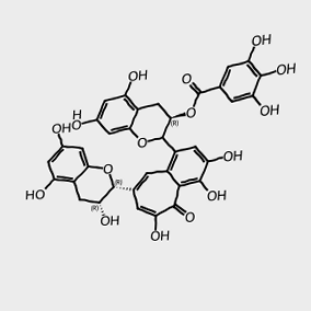 O=C(O[C@@H]1Cc2c(O)cc(O)cc2OC1c1cc(O)c(O)c2c(=O)c(O)cc([C@H]3Oc4cc(O)cc(O)c4C[C@H]3O)cc12)c1cc(O)c(O)c(O)c1